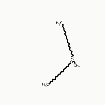 CCCCCCCCCCCCCCCCCCOC[C@H](CC)OCCCCCCCCCCCCCCCCCC